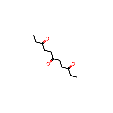 [CH2]CC(=O)CCC(=O)CCC(=O)CC